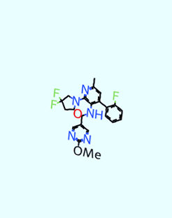 COc1ncc(C(=O)Nc2c(-c3ccccc3F)cc(C)nc2N2CCC(F)(F)C2)cn1